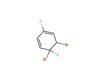 FC1=CC(Br)C(F)(Br)C=C1